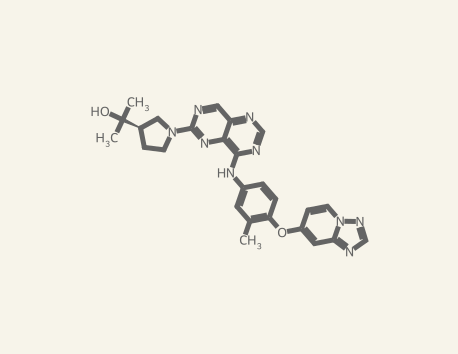 Cc1cc(Nc2ncnc3cnc(N4CC[C@@H](C(C)(C)O)C4)nc23)ccc1Oc1ccn2ncnc2c1